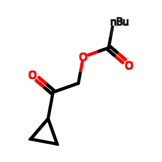 CCCCC(=O)OCC(=O)C1CC1